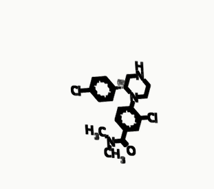 CN(C)C(=O)c1ccc(N2CCNC[C@H]2c2ccc(Cl)cc2)c(Cl)c1